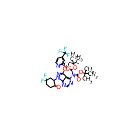 CC(C)(C)OC(=O)N(C(=O)OC(C)(C)C)c1ncnc2c1c(Oc1cc(C(F)(F)F)ccn1)nn2C1CC(F)(F)CCC1=O